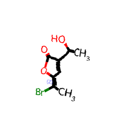 C/C(Br)=C1\C=C(C(C)O)C(=O)O1